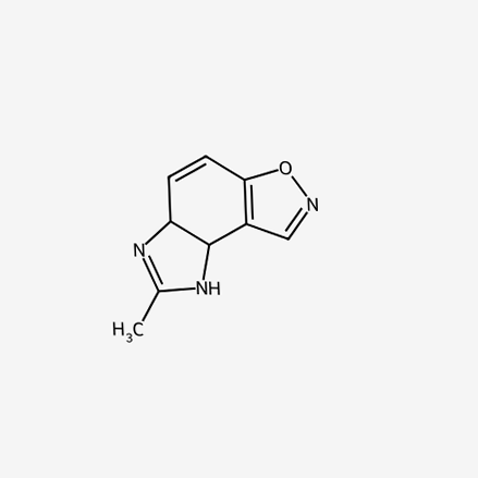 CC1=NC2C=Cc3oncc3C2N1